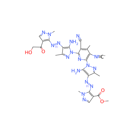 [C-]#[N+]c1c(-n2nc(C)c(/N=N/c3c(C(=O)OC)cnn3C)c2N)nc(-n2nc(C)c(/N=N/c3c(C(=O)CO)cnn3C)c2N)c(C#N)c1C